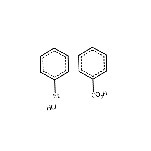 CCc1ccccc1.Cl.O=C(O)c1ccccc1